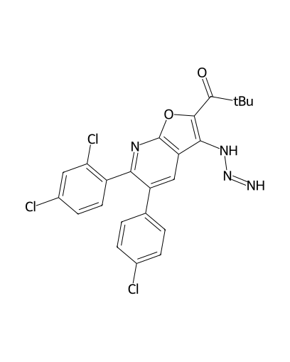 CC(C)(C)C(=O)c1oc2nc(-c3ccc(Cl)cc3Cl)c(-c3ccc(Cl)cc3)cc2c1NN=N